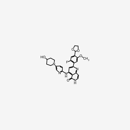 COc1cc(-c2cc(Nc3ccc(N4CCC(O)CC4)cn3)c3c(=O)[nH]ccc3n2)c(F)cc1C1OCCO1